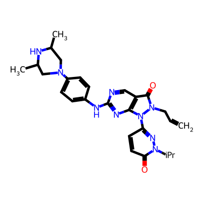 C=CCn1c(=O)c2cnc(Nc3ccc(N4CC(C)NC(C)C4)cc3)nc2n1-c1ccc(=O)n(C(C)C)n1